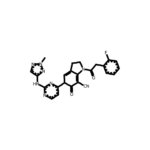 Cn1ncc(Nc2nccc(C3C=C4CCN(C(=O)Cc5ccccc5F)C4=C(C#N)C3=O)n2)n1